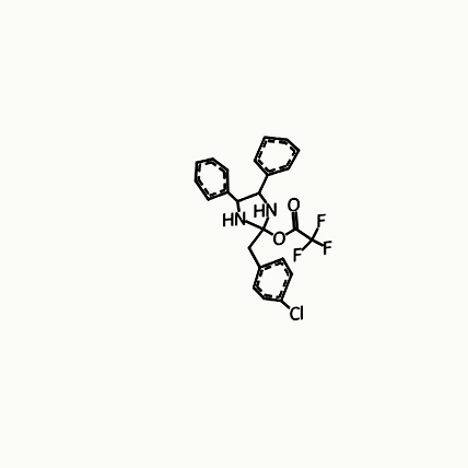 O=C(OC1(Cc2ccc(Cl)cc2)NC(c2ccccc2)C(c2ccccc2)N1)C(F)(F)F